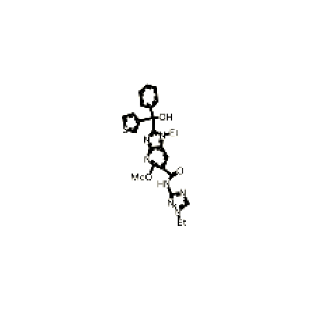 CCn1cnc(NC(=O)c2cc3c(nc2OC)nc(C(O)(c2ccccc2)c2ccsc2)n3CC)n1